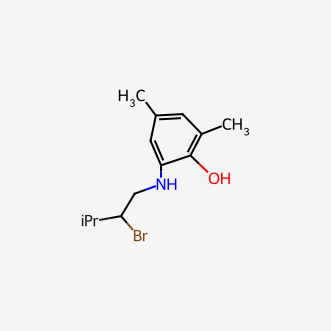 Cc1cc(C)c(O)c(NCC(Br)C(C)C)c1